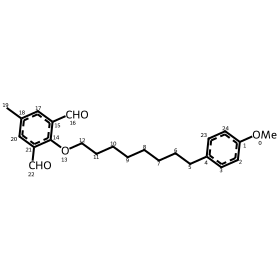 COc1ccc(CCCCCCCCOc2c(C=O)cc(C)cc2C=O)cc1